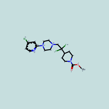 CC(C)(C)OC(=O)N1CCC(C(F)(F)CN2CCN(c3cc(Br)ccn3)CC2)CC1